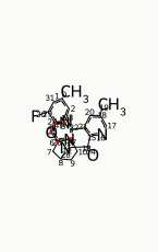 Cc1cnc(OC2CC3CCC2N(C(=O)c2ncc(C)cc2-c2ncccn2)C3)c(F)c1